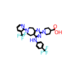 O=C(O)C1CCN(c2nc3c(c(Nc4ccc(C(F)(F)F)cc4)n2)CCN(c2ncccc2C(F)(F)F)CC3)CC1